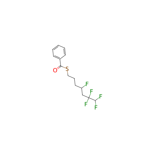 O=C(SCCCC(F)CC(F)(F)C(F)F)c1ccccc1